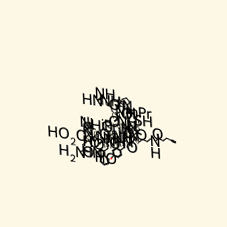 C#CCCC(=O)NCCCC[C@@H](NC(=O)[C@@H](CS)NC(=O)[C@H](CC(C)C)NC(=O)[C@H](CCCNC(=N)N)NC(=O)[C@@H]1CCCN1C(=O)CCC)C(=O)N[C@@H](Cc1ccc(O)cc1)C(=O)N[C@@H](CO)C(=O)N[C@@H](Cc1c[nH]c2ccccc12)C(=O)N[C@@H](Cc1cnc[nH]1)C(=O)N[C@@H](CCC(N)=O)C(=O)O